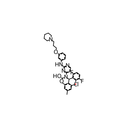 Cc1cc(C)c(C(c2c(F)ccc(F)c2Cl)N(C(=O)O)c2ccnc(Nc3cccc(OCCCN4CCCCC4)c3)n2)c(C)c1